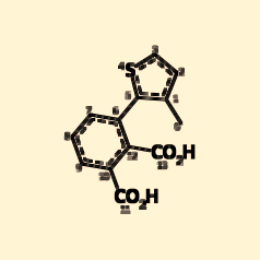 Cc1ccsc1-c1cccc(C(=O)O)c1C(=O)O